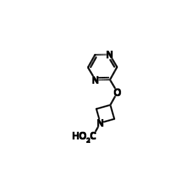 O=C(O)N1CC(Oc2cnccn2)C1